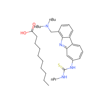 CCCCCCCCCC(=O)O.CCCCN(CCCC)Cc1cccc2c3cccc(NC(=S)NCCC)cc-3nc12